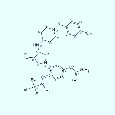 CC(=O)Oc1ccc(OC(=O)C(F)(F)F)c(N2CC(O)C(NC3CCN(Cc4ccc(Cl)cc4)CC3)C2)c1